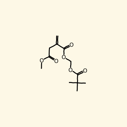 C=C(CC(=O)OC)C(=O)OCOC(=O)C(C)(C)C